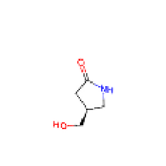 O=C1C[C@H](CO)CN1